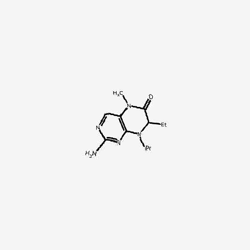 CCC1C(=O)N(C)c2cnc(N)nc2N1C(C)C